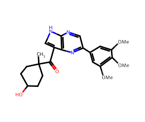 COc1cc(-c2cnc3[nH]cc(C(=O)C4(C)CCC(O)CC4)c3n2)cc(OC)c1OC